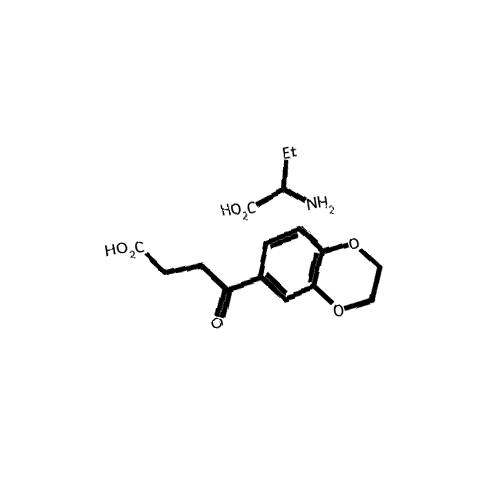 CCC(N)C(=O)O.O=C(O)CCC(=O)c1ccc2c(c1)OCCO2